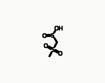 CS(=O)(=O)CS(=O)O